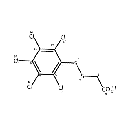 O=C(O)CSSc1c(Cl)c(Cl)c(Cl)c(Cl)c1Cl